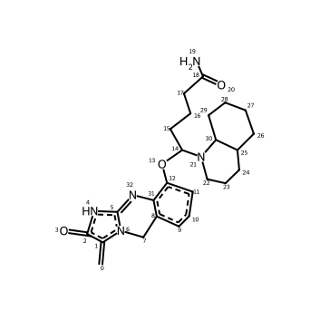 C=c1c(=O)[nH]c2n1Cc1cccc(OC(CCCC(N)=O)N3CCCC4CCCCC43)c1N=2